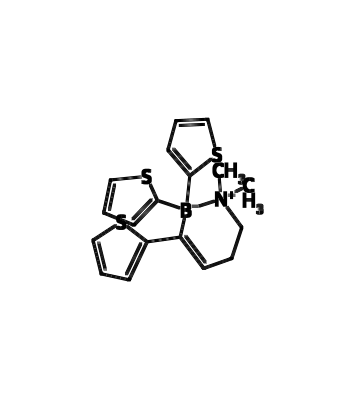 C[N+]1(C)CCC=C(c2cccs2)[B-]1(c1cccs1)c1cccs1